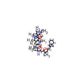 CC[C@H](NC(=O)C[C@H](O)[C@H](C)CCCc1cn2c(n1)CCCC2)C(=O)N(C)[C@H](C)C(=O)N(C)[C@@H](CC(C)C)C(=O)N[C@H](C(=O)NC)C(C)C